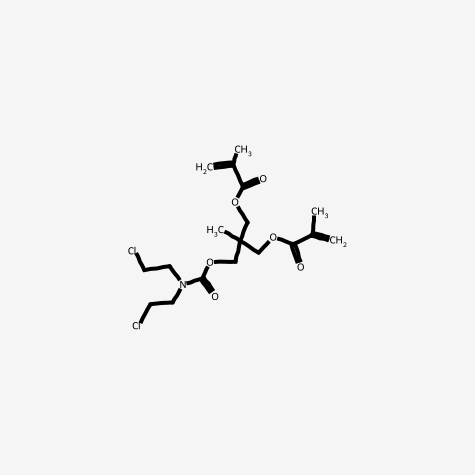 C=C(C)C(=O)OCC(C)(COC(=O)C(=C)C)COC(=O)N(CCCl)CCCl